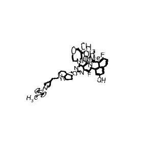 C#Cc1c(F)ccc2cc(O)cc(-c3nc(OC)c4c(N5CCOC[C@@](C)(O)C5)nc(OC[C@]56CCC[C@H]5N(CCC5CN(S(C)(=O)=O)C5)CCC6)nc4c3F)c12